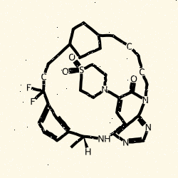 C[C@H]1Nc2ncnc3c2cc(N2CCS(=O)(=O)CC2)c(=O)n3CCCCCC2CCC(CC2)CCC(F)(F)c2cccc1c2